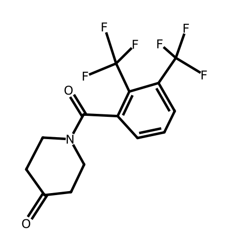 O=C1CCN(C(=O)c2cccc(C(F)(F)F)c2C(F)(F)F)CC1